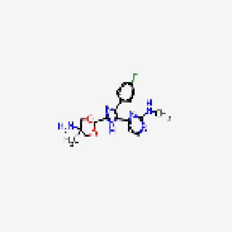 CNc1nccc(-c2[nH]c(C3OCC(C)(N)CO3)nc2-c2ccc(F)cc2)n1